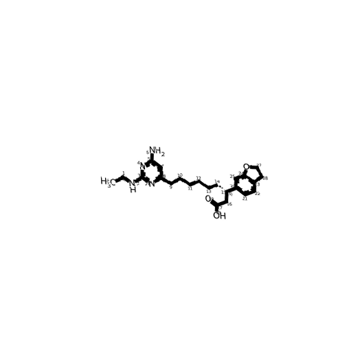 CCNc1nc(N)cc(CCCCCC[C@@H](CC(=O)O)c2ccc3c(c2)OCC3)n1